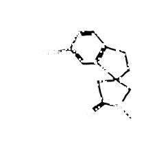 CN1CC2(CCc3ccc(N)cc32)CC1=O